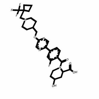 O=C(O)C1CC(O)CCN1C(=O)c1ccc(-c2cnc(OCC3CCN(CC4(C(F)(F)F)CCC4)CC3)cn2)cc1F